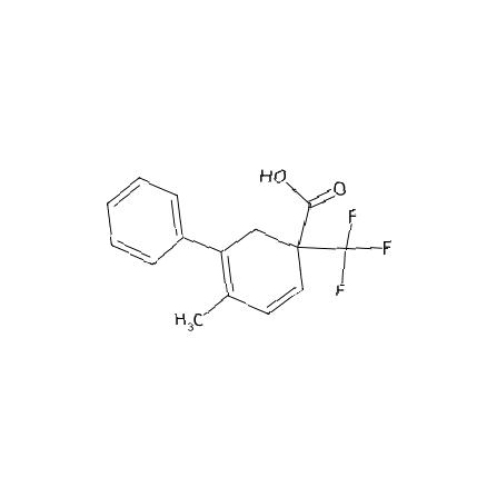 CC1=C(c2ccccc2)CC(C(=O)O)(C(F)(F)F)C=C1